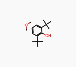 CC(C)(C)c1cccc(C(C)(C)C)c1O.COC